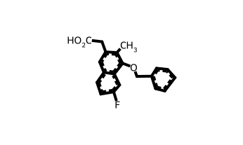 Cc1c(CC(=O)O)cc2ccc(F)cc2c1OCc1ccccc1